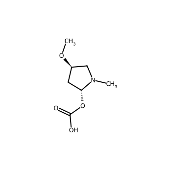 CO[C@@H]1C[C@@H](OC(=O)O)N(C)C1